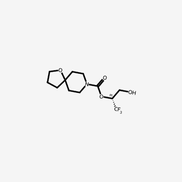 O=C(O[C@H](CO)C(F)(F)F)N1CCC2(CCCO2)CC1